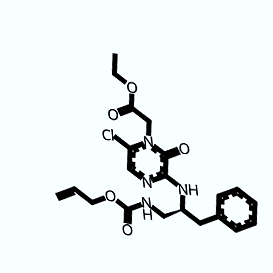 C=CCOC(=O)NC[C@H](Cc1ccccc1)Nc1ncc(Cl)n(CC(=O)OCC)c1=O